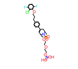 O=C(OCCOCCON(O)O)N1C2C=C(c3ccc(CCCOc4c(F)ccc(F)c4Cl)cc3)CC1C[S+]([O-])C2